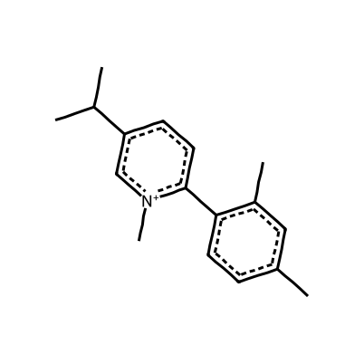 Cc1ccc(-c2ccc(C(C)C)c[n+]2C)c(C)c1